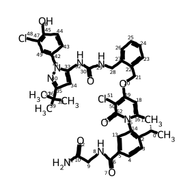 CCc1ccc(C(=O)NCC(N)=O)cc1-n1c(C)cc(OCc2ccccc2CNC(=O)Nc2cc(C(C)(C)C)nn2-c2ccc(O)c(Cl)c2)c(Cl)c1=O